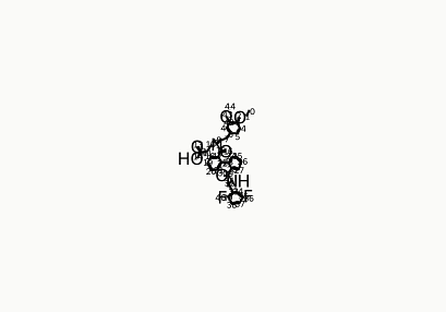 CCOc1ccc(CCN(CCC(=O)O)C(=O)c2ccccc2-c2ccccc2C(=O)NCc2cc(F)ccc2F)cc1OC